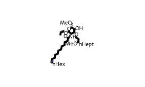 C/C=C\O[C@H]1O[C@H](COC)[C@@H](O)[C@H](OCC[C@@H](CCCCCCC)OC)[C@H]1NC(=O)CCCCCCCCC/C=C\CCCCCC